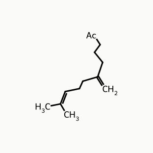 C=C(CCC=C(C)C)CCCC(C)=O